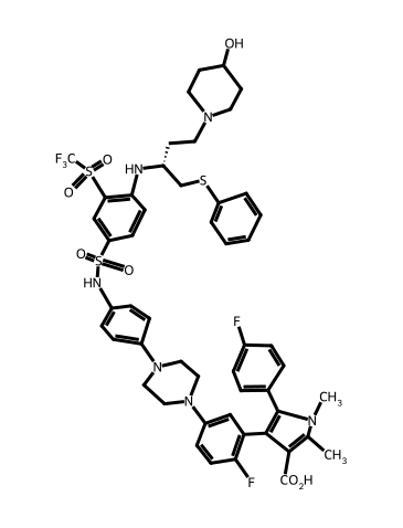 Cc1c(C(=O)O)c(-c2cc(N3CCN(c4ccc(NS(=O)(=O)c5ccc(N[C@H](CCN6CCC(O)CC6)CSc6ccccc6)c(S(=O)(=O)C(F)(F)F)c5)cc4)CC3)ccc2F)c(-c2ccc(F)cc2)n1C